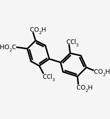 O=C(O)c1cc(-c2cc(C(=O)O)c(C(=O)O)cc2C(Cl)(Cl)Cl)c(C(Cl)(Cl)Cl)cc1C(=O)O